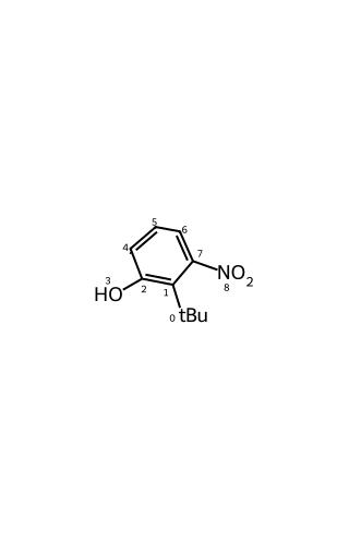 CC(C)(C)c1c(O)[c]ccc1[N+](=O)[O-]